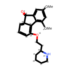 COc1cc(OC)c2c(c1)C(=O)c1cccc(OCCC3CCCCN3)c1-2